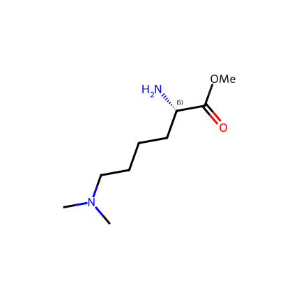 COC(=O)[C@@H](N)CCCCN(C)C